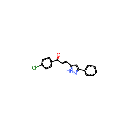 O=C(/C=C/c1cc(-c2ccccc2)n[nH]1)c1ccc(Cl)cc1